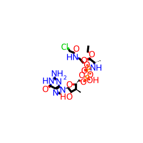 CCOC(=O)[C@H](C)NP(=O)(OCCNC(=O)CCl)OP(=O)(O)OC[C@H]1O[C@@H](n2cnc3c(=O)[nH]c(N)nc32)[C@H](O)[C@@H]1C